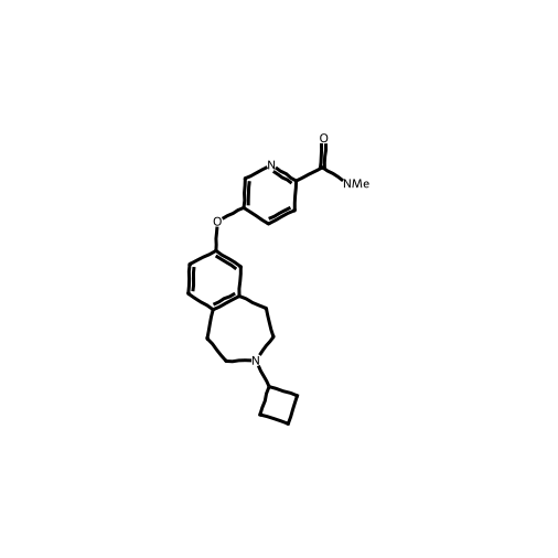 CNC(=O)c1ccc(Oc2ccc3c(c2)CCN(C2CCC2)CC3)cn1